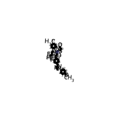 COc1ccc(-n2cnc(-c3ccc(NC(=O)/N=C4\SCC(=O)N4c4cc(C)ccc4OCCC(F)(F)F)c(F)c3)n2)cc1